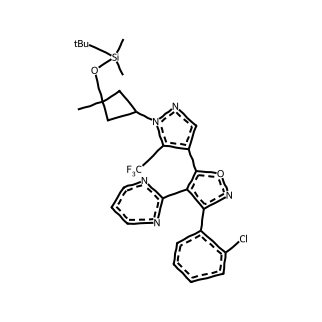 CC1(O[Si](C)(C)C(C)(C)C)CC(n2ncc(-c3onc(-c4ccccc4Cl)c3-c3ncccn3)c2C(F)(F)F)C1